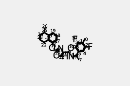 Cc1c(F)cc([C@@H](C)NC(=O)c2coc(Oc3cccc4c3CCCC4C)n2)cc1F